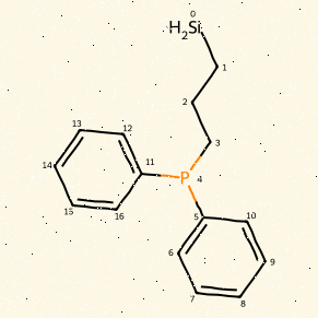 [SiH2]CCCP(c1ccccc1)c1ccccc1